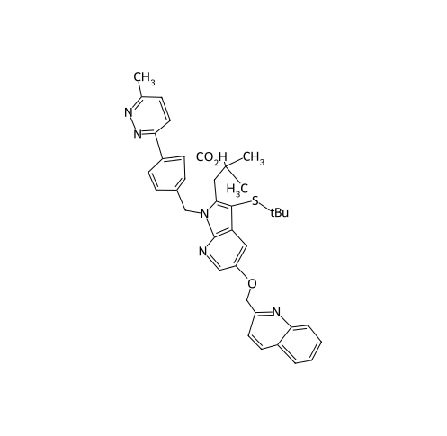 Cc1ccc(-c2ccc(Cn3c(CC(C)(C)C(=O)O)c(SC(C)(C)C)c4cc(OCc5ccc6ccccc6n5)cnc43)cc2)nn1